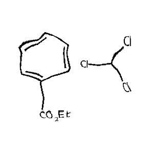 CCOC(=O)c1ccccc1.ClC(Cl)Cl